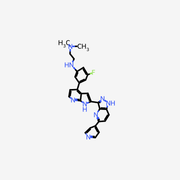 CN(C)CCNc1cc(F)cc(-c2ccnc3[nH]c(-c4n[nH]c5ccc(-c6ccncc6)nc45)cc23)c1